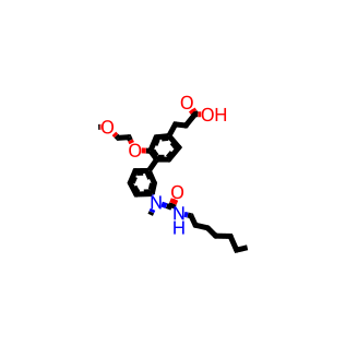 CCCCCCCNC(=O)N(C)c1cccc(-c2ccc(CCC(=O)O)cc2OCCOC)c1